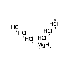 Cl.Cl.Cl.Cl.Cl.Cl.[MgH2]